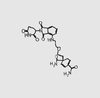 NC(=O)C1=CCC(CCOCCNc2cccc3c2C(=O)N(C2CCC(=O)NC2=O)C3=O)(C(N)=O)C=C1